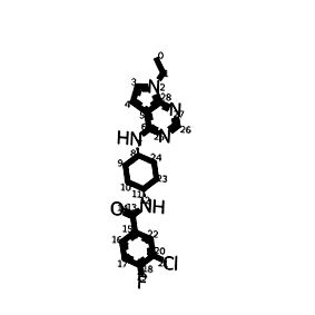 CCn1ccc2c(N[C@H]3CC[C@@H](NC(=O)c4ccc(F)c(Cl)c4)CC3)ncnc21